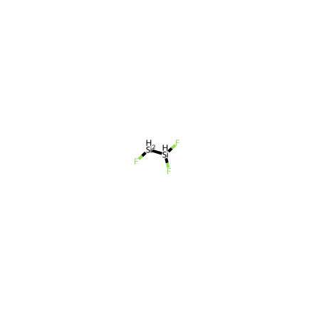 F[SiH2][SiH](F)F